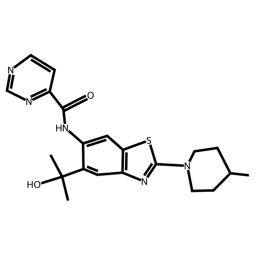 CC1CCN(c2nc3cc(C(C)(C)O)c(NC(=O)c4ccncn4)cc3s2)CC1